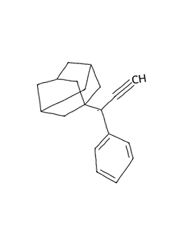 C#C[C](c1ccccc1)C12CC3CC(CC(C3)C1)C2